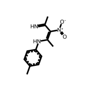 CC(=N)/C(=C(/C)Nc1ccc(C)cc1)[N+](=O)[O-]